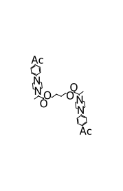 CC(=O)c1ccc(N2CCN(C(C)C(=O)OCCCCOC(=O)C(C)N3CCN(c4ccc(C(C)=O)cc4)CC3)CC2)cc1